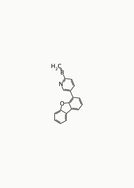 C=Bc1ccc(-c2cccc3c2oc2ccccc23)cn1